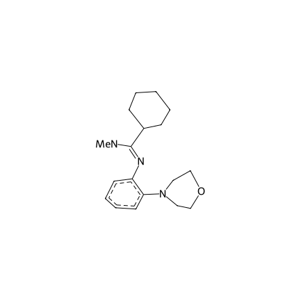 CNC(=Nc1ccccc1N1CCOCC1)C1CCCCC1